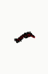 C=CCCCOc1ccc(C(=O)Oc2ccc(-c3ccc(C4CCC(C(O)CCC)CC4)c(F)c3F)cc2)c(F)c1F